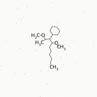 CCCCCCC(OC)C(C1CCCCC1)C(C)OC